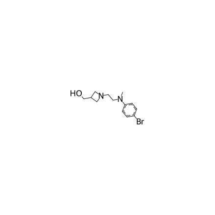 CN(CCN1CC(CO)C1)c1ccc(Br)cc1